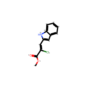 COC(=O)/C(Cl)=C/c1cc2ccccc2[nH]1